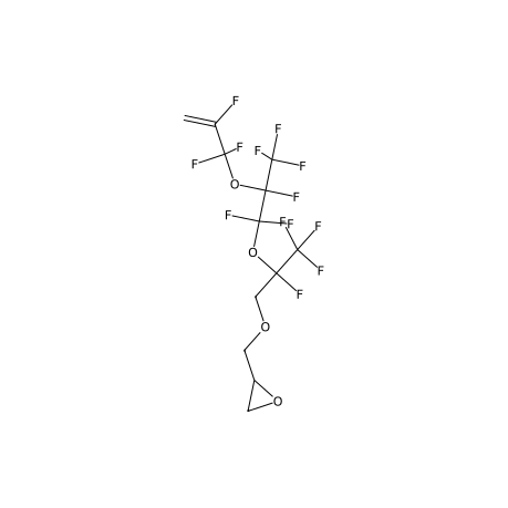 C=C(F)C(F)(F)OC(F)(C(F)(F)F)C(F)(F)OC(F)(COCC1CO1)C(F)(F)F